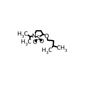 CC(C)CCOC1CCN(C(C)C)S1(=O)=O